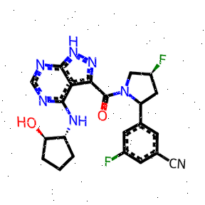 N#Cc1cc(F)cc(C2C[C@H](F)CN2C(=O)c2n[nH]c3ncnc(N[C@@H]4CCC[C@H]4O)c23)c1